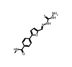 CNC(=O)c1ccc(-c2ccc(/C=N/NC(=S)NN)o2)cc1